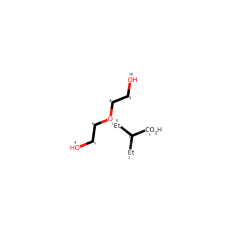 CCC(CC)C(=O)O.OCCOCCO